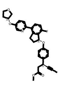 CC#C[C@@H](CC(=O)OC)c1ccc(O[C@@H]2CCc3c(-c4ccc(O[C@@H]5CCOC5)cn4)ccc(F)c32)cc1